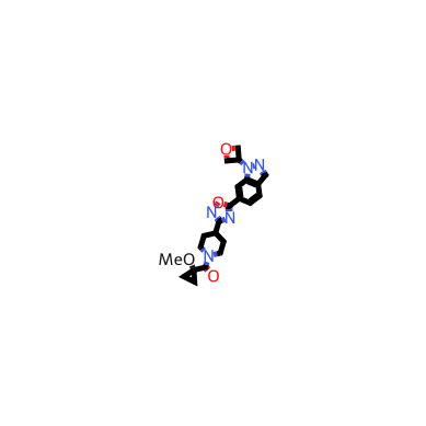 COC1(C(=O)N2CCC(c3noc(-c4ccc5cnn(C6COC6)c5c4)n3)CC2)CC1